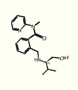 CC(C)[C@H](CO)NCc1ccccc1C(=O)N(C)c1ccccn1